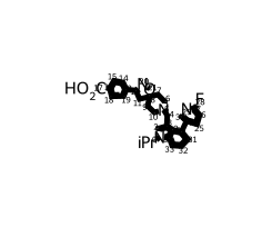 CC(C)n1cc(CN2CCC3(CC2)CC(c2ccc(C(=O)O)cc2)=NO3)c2c(-c3ccc(F)nc3)cccc21